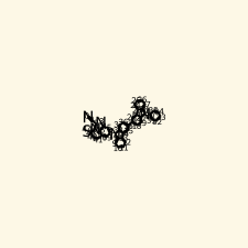 N#Cc1nc2cc(-n3c4ccccc4c4cc(-c5ccc6c(c5)c5ccccc5n6-c5ccccc5)ccc43)cc3ccc(=S)n1c32